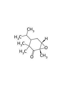 CC(C)C1C[C@@H]2O[C@]2(C)C(=O)C1(C)C